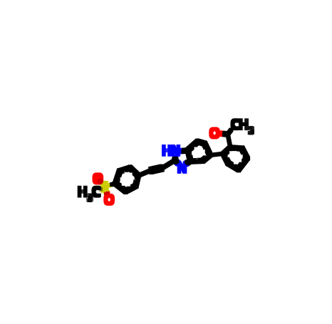 CC(=O)c1ccccc1-c1ccc2[nH]c(C#Cc3ccc(S(C)(=O)=O)cc3)nc2c1